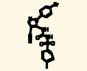 Cc1ccc(S(=O)(=O)NC(=O)Nc2c(C#N)cnn2-c2ccc(Br)cc2)cc1